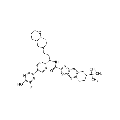 CC(C)(C)[C@H]1CCc2nc3sc(C(=O)N[C@H](CCN4CCC5OCCCC5C4)c4ccc(-c5cnc(O)c(F)c5)cc4)nc3cc2C1